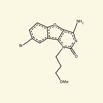 COCCCn1c(=O)nc(N)c2oc3ccc(Br)cc3c21